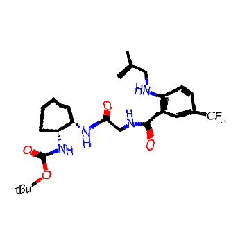 C=C(C)CNc1ccc(C(F)(F)F)cc1C(=O)NCC(=O)N[C@H]1CCCC[C@H]1NC(=O)OC(C)(C)C